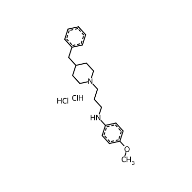 COc1ccc(NCCCN2CCC(Cc3ccccc3)CC2)cc1.Cl.Cl